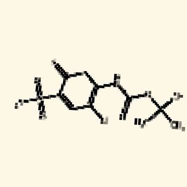 CC(C)(C)OC(=O)NC1=C(Cl)C=C(S(N)(=O)=O)C(=S)C1